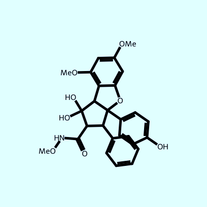 CONC(=O)C1C(c2ccccc2)C2(c3ccc(O)cc3)Oc3cc(OC)cc(OC)c3C2C1(O)O